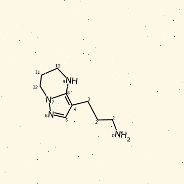 NCCCc1cnn2c1NCCC2